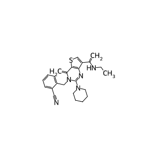 C=C(NCC)c1csc2c1N=C(N1CCCCC1)N(Cc1ccccc1C#N)C2=C